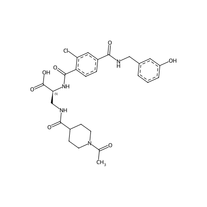 CC(=O)N1CCC(C(=O)NC[C@H](NC(=O)c2ccc(C(=O)NCc3cccc(O)c3)cc2Cl)C(=O)O)CC1